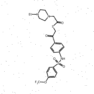 CCN1CCN(CC(=O)SCC(=O)c2ccc(NS(=O)(=O)c3ccc(OC(F)(F)F)cc3)cc2)CC1